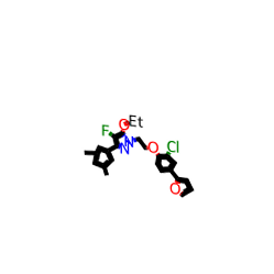 CCOc1c(F)c(-c2cc(C)cc(C)c2)nn1CCOc1ccc(-c2ccco2)cc1Cl